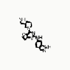 NCC1CCCN(c2nc(Nc3ccc4cn[nH]c4c3)nc3ccoc23)C1